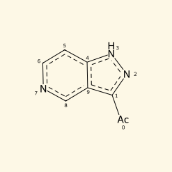 CC(=O)c1n[nH]c2ccncc12